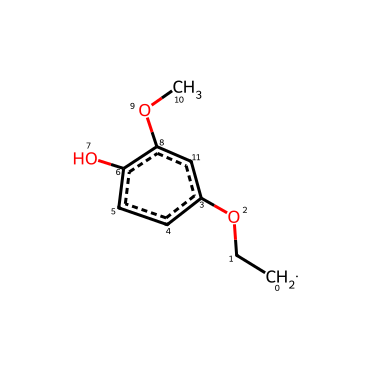 [CH2]COc1ccc(O)c(OC)c1